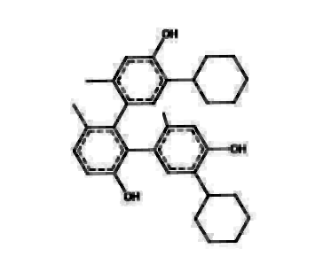 Cc1cc(O)c(C2CCCCC2)cc1-c1c(C)ccc(O)c1-c1cc(C2CCCCC2)c(O)cc1C